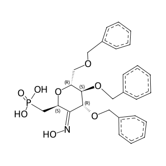 O=P(O)(O)C[C@H]1O[C@H](COCc2ccccc2)[C@@H](OCc2ccccc2)[C@H](OCc2ccccc2)C1=NO